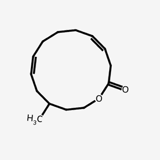 CC1CC=CCCCC=CCC(=O)OCC1